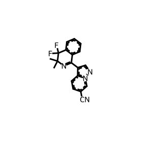 CC1(C)N=C(c2cnn3cc(C#N)ccc23)c2ccccc2C1(F)F